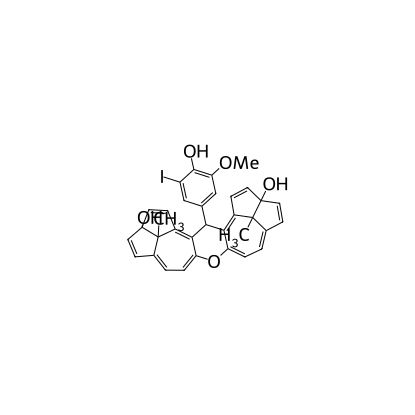 COc1cc(C2C3=C4C=CC5(O)C=CC(=CC=C3OC3=CC=C6C=CC7(O)C=CC(=C32)C67C)C45C)cc(I)c1O